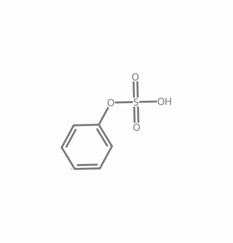 O=S(=O)(O)Oc1cc[c]cc1